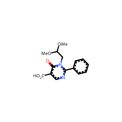 COC(Cn1c(-c2ccccc2)ncc(C(=O)O)c1=O)OC